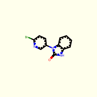 O=c1[nH]c2ccccc2n1-c1ccc(Br)nc1